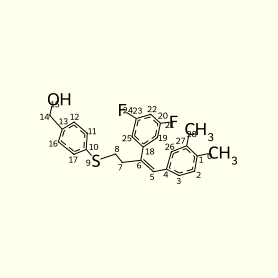 Cc1ccc(C=C(CCSc2ccc(CO)cc2)c2cc(F)cc(F)c2)cc1C